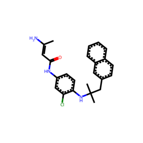 C/C(N)=C\C(=O)Nc1ccc(NC(C)(C)Cc2ccc3ccccc3c2)c(Cl)c1